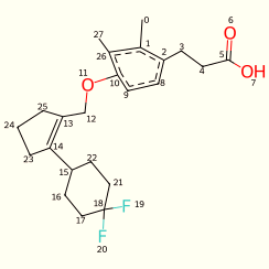 Cc1c(CCC(=O)O)ccc(OCC2=C(C3CCC(F)(F)CC3)CCC2)c1C